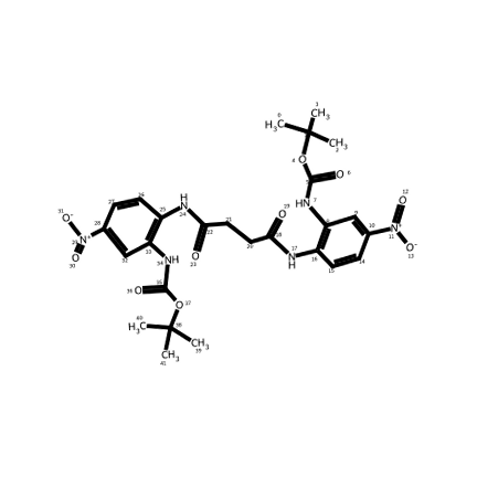 CC(C)(C)OC(=O)Nc1cc([N+](=O)[O-])ccc1NC(=O)CCC(=O)Nc1ccc([N+](=O)[O-])cc1NC(=O)OC(C)(C)C